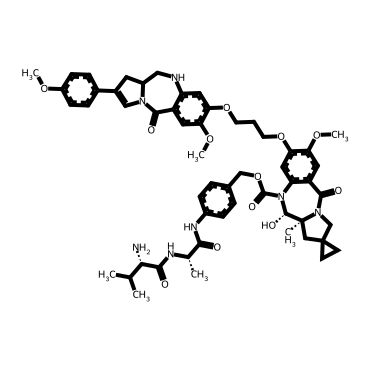 COc1ccc(C2=CN3C(=O)c4cc(OC)c(OCCCOc5cc6c(cc5OC)C(=O)N5CC7(CC7)C[C@@]5(C)[C@H](O)N6C(=O)OCc5ccc(NC(=O)[C@H](C)NC(=O)[C@@H](N)C(C)C)cc5)cc4NCC3C2)cc1